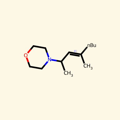 CCCC/C(C)=C/C(C)N1CCOCC1